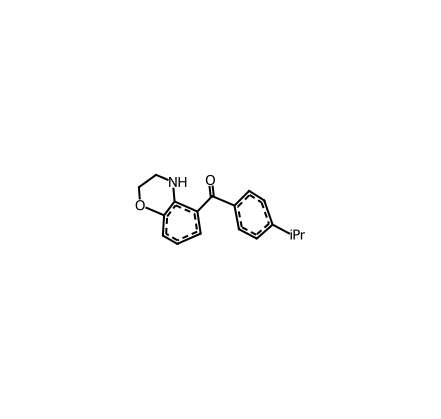 CC(C)c1ccc(C(=O)c2cccc3c2NCCO3)cc1